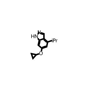 CC(C)c1cc(OC2CC2)cc2[nH]ncc12